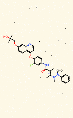 C/C(C(=O)Nc1ccc(Oc2ccnc3cc(OCC(C)(C)O)ccc23)c(F)c1)=C(/C)N(C)N(C=O)c1ccccc1